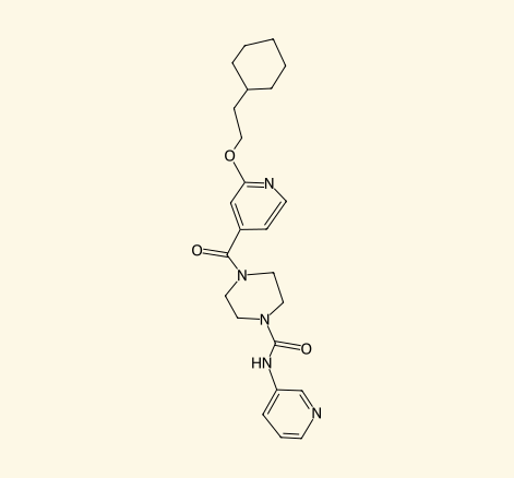 O=C(Nc1cccnc1)N1CCN(C(=O)c2ccnc(OCCC3CCCCC3)c2)CC1